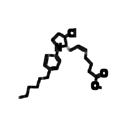 CCCCCCc1ccc(N2CCC(Cl)[C@@H]2C/C=C\CCCC(=O)OC)cc1